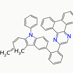 C=C/C=C\c1c(C)c2cc(-c3ccccc3-c3cnc4c5ccccc5c5ccccc5c4n3)ccc2n1-c1ccccc1